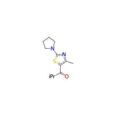 Cc1nc(N2CCCC2)sc1C(=O)C(C)C